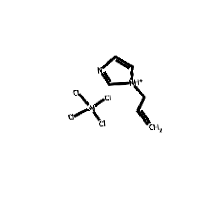 C=CC[NH+]1C=CN=C1.[Cl][Al-]([Cl])([Cl])[Cl]